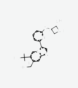 C[C@@H]1NC[C@H]1Nc1cccc(-c2cnc3cc(CO)c(C(C)(C)O)cn23)n1